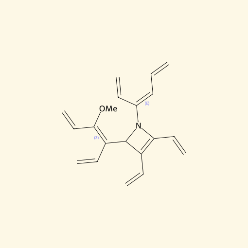 C=C/C=C(\C=C)N1C(C=C)=C(C=C)C1/C(C=C)=C(/C=C)OC